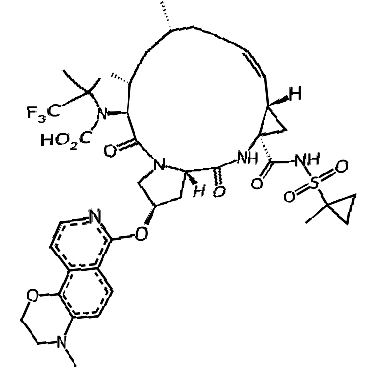 C[C@@H]1CC/C=C\[C@@H]2C[C@@]2(C(=O)NS(=O)(=O)C2(C)CC2)NC(=O)[C@@H]2C[C@@H](Oc3nccc4c5c(ccc34)N(C)CCO5)CN2C(=O)[C@@H](N(C(=O)O)C(C)(C)C(F)(F)F)[C@H](C)C1